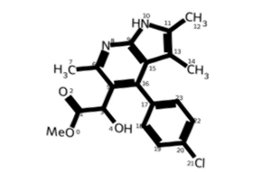 COC(=O)C(O)c1c(C)nc2[nH]c(C)c(C)c2c1-c1ccc(Cl)cc1